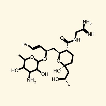 CC(C)/C=C/[C@@H](C[C@@H]1O[C@](O)(C[C@H](C)O)CC[C@H]1C(=O)NCC(=N)N)OC1OC(C)C(O)C(N)C1O